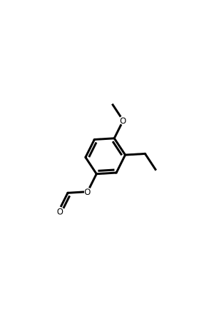 CCc1cc(OC=O)ccc1OC